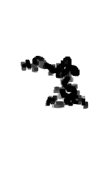 CCCCO[C@@H](CCN1CCC(C)(C)CC1)C(=O)O